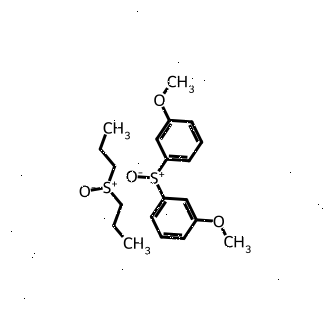 CCC[S+]([O-])CCC.COc1cccc([S+]([O-])c2cccc(OC)c2)c1